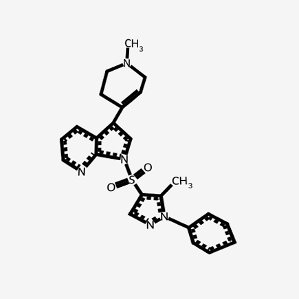 Cc1c(S(=O)(=O)n2cc(C3=CCN(C)CC3)c3cccnc32)cnn1-c1ccccc1